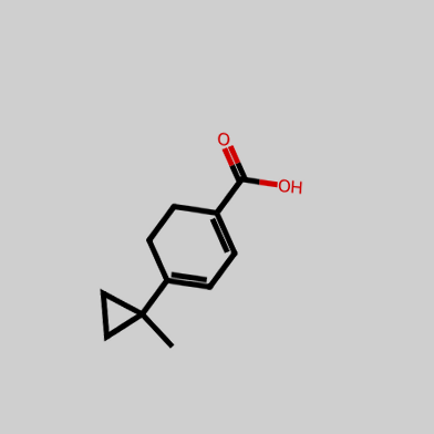 CC1(C2=CC=C(C(=O)O)CC2)CC1